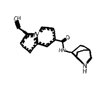 C#Cc1ccc2cc(C(=O)NC3CC4CNC3C4)ccn12